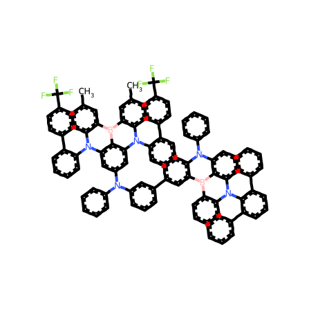 Cc1ccc2c(c1)B1c3cc(C)ccc3N(c3ccccc3-c3ccc(C(F)(F)F)cc3)c3cc(N(c4ccccc4)c4cccc(-c5ccc6c(c5)B5c7ccccc7N(c7c(-c8ccccc8)cccc7-c7ccccc7)c7cccc(c75)N6c5ccccc5)c4)cc(c31)N2c1ccccc1-c1ccc(C(F)(F)F)cc1